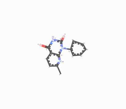 Cc1ccc2c(=O)[nH]c(=O)n(-c3ccccc3)c2n1